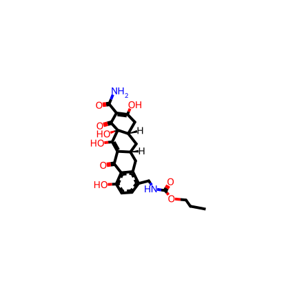 CCCOC(=O)NCc1ccc(O)c2c1C[C@H]1C[C@H]3CC(O)=C(C(N)=O)C(=O)[C@@]3(O)C(O)=C1C2=O